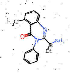 CC[C@H](N)c1nc2cccc(C)c2c(=O)n1-c1ccccc1